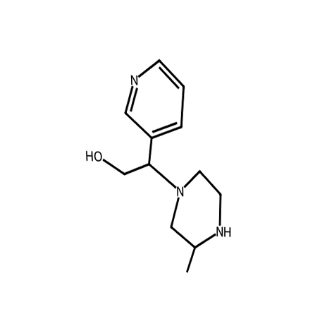 CC1CN(C(CO)c2cccnc2)CCN1